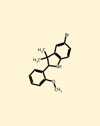 COc1ccccc1C1Nc2ccc(Br)cc2C1(C)C